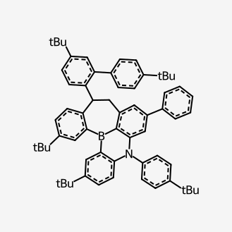 CC(C)(C)c1ccc(-c2cc(C(C)(C)C)ccc2C2Cc3cc(-c4ccccc4)cc4c3B(c3cc(C(C)(C)C)ccc32)c2cc(C(C)(C)C)ccc2N4c2ccc(C(C)(C)C)cc2)cc1